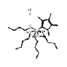 CCCC[NH][Zr+2]([NH]CCCC)([NH]CCCC)([NH]CCCC)([C]1=C(C)C(C)=C(C)C1C)=[Si](C)C.[Cl-].[Cl-]